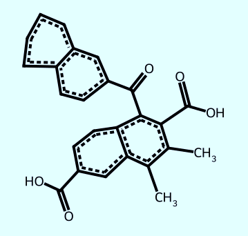 Cc1c(C(=O)O)c(C(=O)c2ccc3ccccc3c2)c2ccc(C(=O)O)cc2c1C